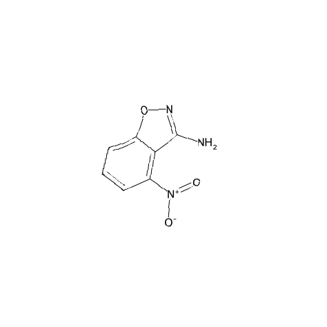 Nc1noc2cccc([N+](=O)[O-])c12